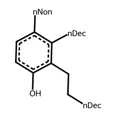 CCCCCCCCCCCCc1c(O)ccc(CCCCCCCCC)c1CCCCCCCCCC